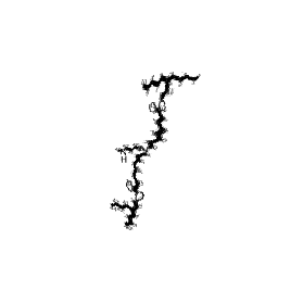 CCCCCC(CCCCC)CCOC(=O)CCCCCCCN(CCCCCCCC(=O)OCCC(CCCC)CCCC)CCCNC